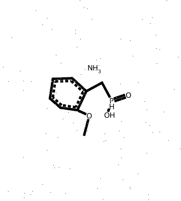 COc1ccccc1C[PH](=O)O.N